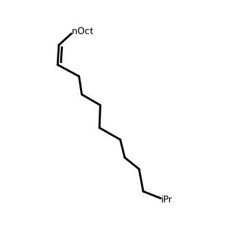 [CH2]C(C)CCCCCCCC/C=C\CCCCCCCC